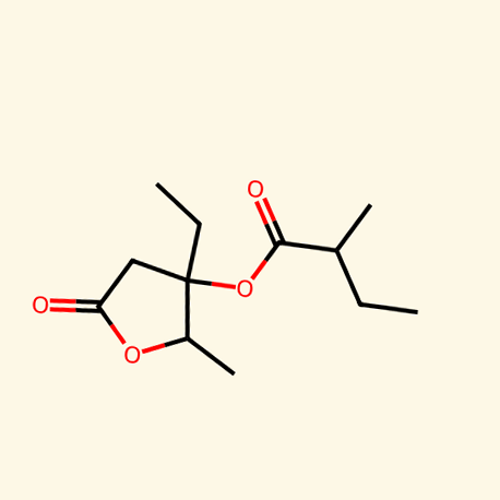 CCC(C)C(=O)OC1(CC)CC(=O)OC1C